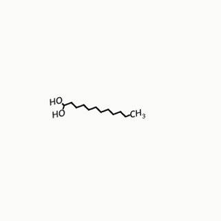 CCCCCCCCCCCC(O)O